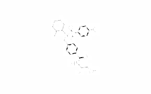 COC[C@@H](C)NC(=O)c1ccc(CN(C2CCCCC2C)S(=O)(=O)c2ccc(Cl)cc2)cc1